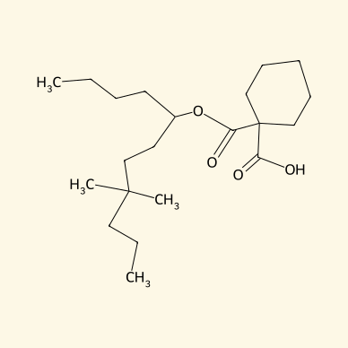 CCCCC(CCC(C)(C)CCC)OC(=O)C1(C(=O)O)CCCCC1